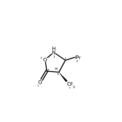 CC(C)C1NOC(=O)[C@@H]1C(F)(F)F